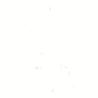 CCC(C)(C)CC(C)(C(=O)OCCC(=O)OC(C(F)(F)F)C(F)(F)F)C(C)(C)C